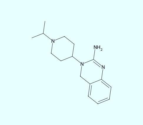 CC(C)N1CCC(N2Cc3ccccc3N=C2N)CC1